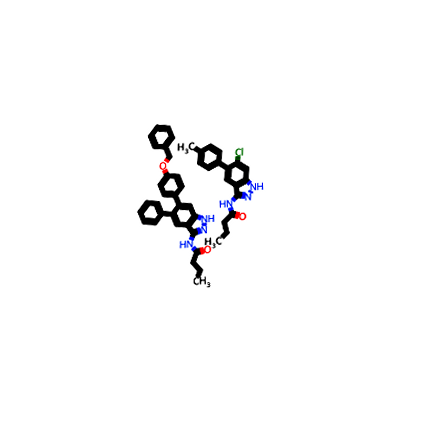 CCCC(=O)Nc1n[nH]c2cc(-c3ccc(OCc4ccccc4)cc3)c(-c3ccccc3)cc12.CCCC(=O)Nc1n[nH]c2cc(Cl)c(-c3ccc(C)cc3)cc12